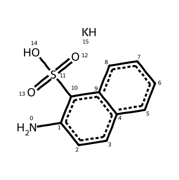 Nc1ccc2ccccc2c1S(=O)(=O)O.[KH]